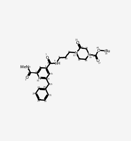 CNC(=O)c1cc(C(=O)NCCCN2CCN(C(=O)OC(C)(C)C)CC2=O)cc(Cc2ccccc2)n1